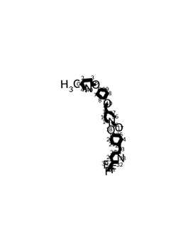 Cc1ccc(Oc2ccc(OCC3CCN(C(=O)Oc4ccc(Cc5ccc(C(F)(F)F)cn5)cc4)CC3)cc2)nc1